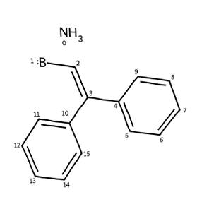 N.[B]C=C(c1ccccc1)c1ccccc1